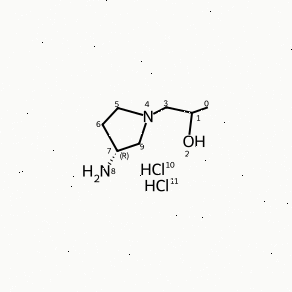 CC(O)CN1CC[C@@H](N)C1.Cl.Cl